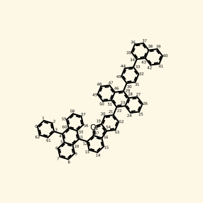 c1ccc(-c2c3ccccc3c(-c3cccc4c3oc3cc(-c5c6ccccc6c(-c6ccc(-c7cccc8ccccc78)cc6)c6ccccc56)ccc34)c3ccccc23)cc1